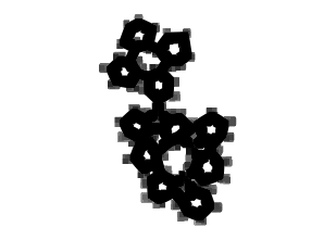 c1ccc2c(c1)-c1ccccc1-c1ccc(-n3c4ccccc4c4c5c6ccccc6c6cccc7c8ccccc8n(c8cccc9c%10ccccc%10n(c5ccc43)c98)c67)cc1-c1ccccc1-2